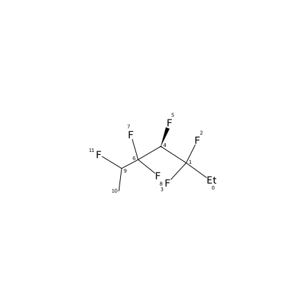 [CH2]CC(F)(F)[C@H](F)C(F)(F)C(C)F